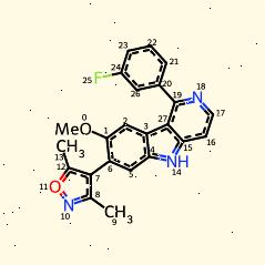 COc1cc2c(cc1-c1c(C)noc1C)[nH]c1ccnc(-c3cccc(F)c3)c12